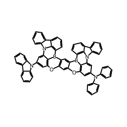 c1ccc(N(c2ccccc2)c2cc3c4c(c2)-n2c5ccccc5c5cccc(c52)B4c2cc4c(cc2O3)Oc2cc(-n3c5ccccc5c5ccccc53)cc3c2B4c2cccc4c5ccccc5n-3c24)cc1